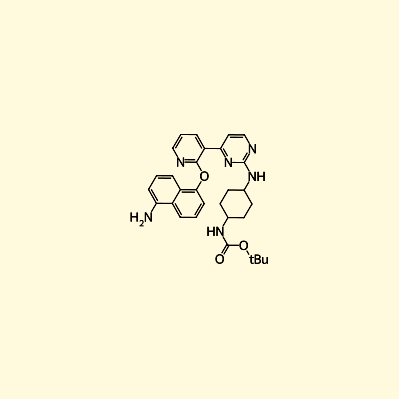 CC(C)(C)OC(=O)NC1CCC(Nc2nccc(-c3cccnc3Oc3cccc4c(N)cccc34)n2)CC1